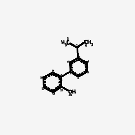 CC(C)c1cccc(-c2ccccc2O)c1